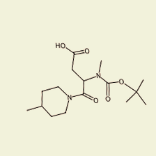 CC1CCN(C(=O)C(CC(=O)O)N(C)C(=O)OC(C)(C)C)CC1